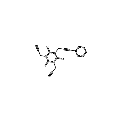 C#CCn1c(=O)n(CC#C)c(=O)n(CC#Cc2ccccc2)c1=O